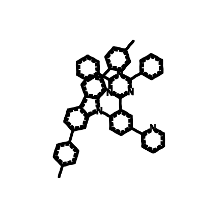 Cc1ccc(-c2ccc3c4ccc(-c5ccc(C)cc5)cc4n(-c4ccc(-c5ccccn5)cc4-c4nc(-c5ccccc5)nc(-c5ccccc5)n4)c3c2)cc1